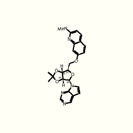 CNc1ccc2ccc(OC[C@H]3O[C@@H](n4ccc5cncnc54)[C@@H]4OC(C)(C)O[C@@H]43)cc2n1